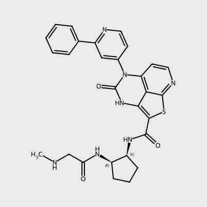 CNCC(=O)N[C@@H]1CCC[C@@H]1NC(=O)c1sc2nccc3c2c1NC(=O)N3c1ccnc(-c2ccccc2)c1